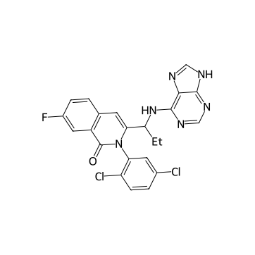 CCC(Nc1ncnc2[nH]cnc12)c1cc2ccc(F)cc2c(=O)n1-c1cc(Cl)ccc1Cl